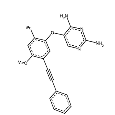 COc1cc(C(C)C)c(Oc2cnc(N)nc2N)cc1C#Cc1ccccc1